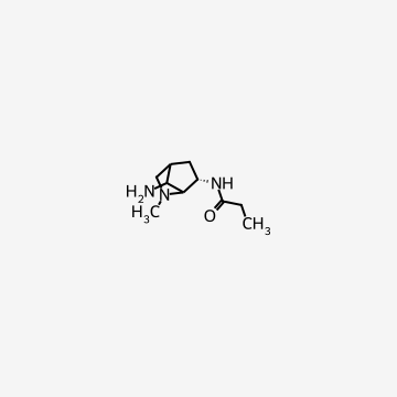 CCC(=O)N[C@H]1CC2CN(C)C1C2N